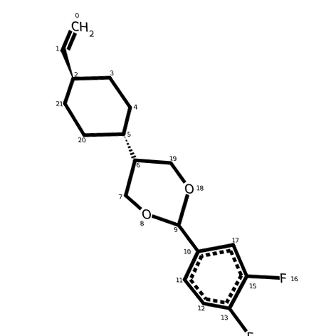 C=C[C@H]1CC[C@H](C2COC(c3ccc(F)c(F)c3)OC2)CC1